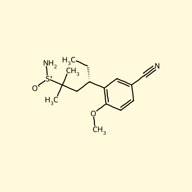 CC[C@@H](CC(C)(C)[S+](N)[O-])c1cc(C#N)ccc1OC